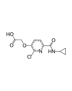 O=C(O)COc1ccc(C(=O)NC2CC2)nc1Cl